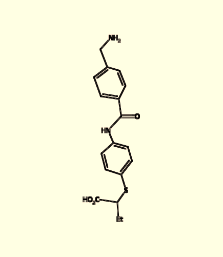 CCC(Sc1ccc(NC(=O)c2ccc(CN)cc2)cc1)C(=O)O